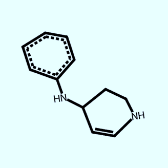 C1=CC(Nc2ccccc2)CCN1